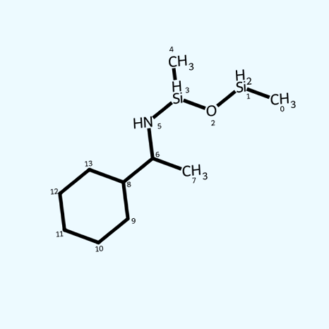 C[SiH2]O[SiH](C)NC(C)C1CCCCC1